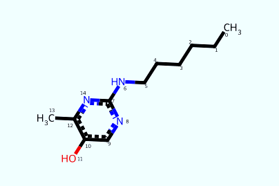 CCCCCCNc1ncc(O)c(C)n1